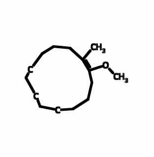 CO/C1=C(\C)CCCCCCCCCCC1